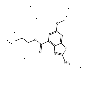 CCCOC(=O)c1cc(OC)cc2sc(N)nc12